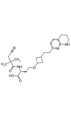 CC(C)(CC#N)C(=O)N[C@@H](CCOC1CC(CCc2ccc3c(n2)NCCC3)C1)C(=O)O